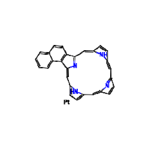 C1=Cc2cc3ccc(cc4nc(cc5ccc(cc1n2)[nH]5)-c1ccc2ccccc2c1-4)[nH]3.[Pt]